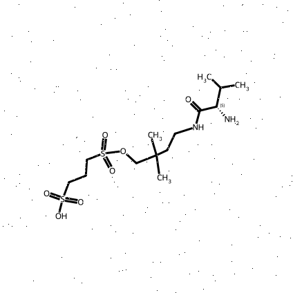 CC(C)[C@H](N)C(=O)NCCC(C)(C)COS(=O)(=O)CCCS(=O)(=O)O